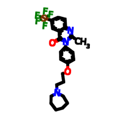 Cc1nc2ccc(S(F)(F)(F)(F)F)cc2c(=O)n1-c1ccc(OCCCN2CCCCCC2)cc1